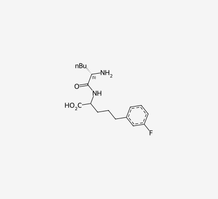 CCCC[C@H](N)C(=O)NC(CCCc1cccc(F)c1)C(=O)O